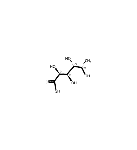 C[C@H](O)[C@@H](O)[C@@H](O)[C@H](O)C(=O)S